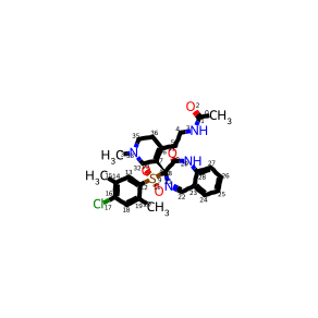 CC(=O)NCCC1=C([C@]2(S(=O)(=O)c3cc(C)c(Cl)cc3C)N=Cc3ccccc3NC2=O)CN(C)CC1